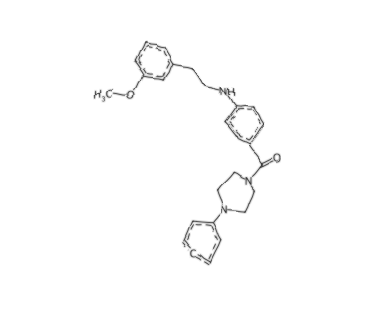 COc1cccc(CCNc2ccc(C(=O)N3CCN(c4ccccc4)CC3)cc2)c1